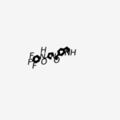 O=C(Nc1cc(F)c(F)c(F)c1)[C@H]1CCN(C(=O)c2ccc3cc[nH]c3c2)C1